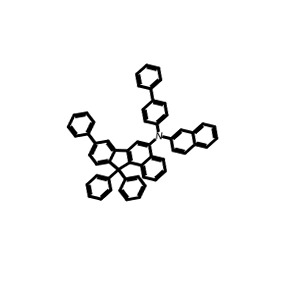 c1ccc(-c2ccc(N(c3ccc4ccccc4c3)c3cc4c(c5ccccc35)C(c3ccccc3)(c3ccccc3)c3ccc(-c5ccccc5)cc3-4)cc2)cc1